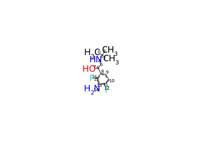 CC(C)(C)NCC(O)c1ccc(F)c(N)c1F